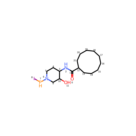 O=C(NC1CCN(PI)CC1O)C1CCCCCCCCC1